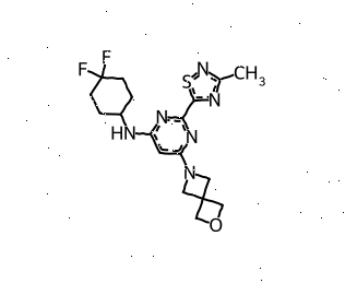 Cc1nsc(-c2nc(NC3CCC(F)(F)CC3)cc(N3CC4(COC4)C3)n2)n1